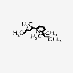 CCCCC(C)c1cccc(C(C)(C)CCC)n1